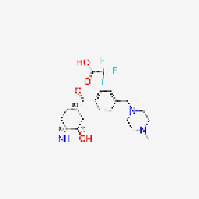 CN[C@@H]1CC[C@H](C(=O)c2ccc(CN3CCN(C)CC3)cc2)C[C@H]1O.O=C(O)C(F)(F)F